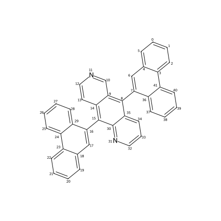 c1ccc2c(c1)cc(-c1c3cnccc3c(-c3cc4ccccc4c4ccccc34)c3ncccc13)c1ccccc12